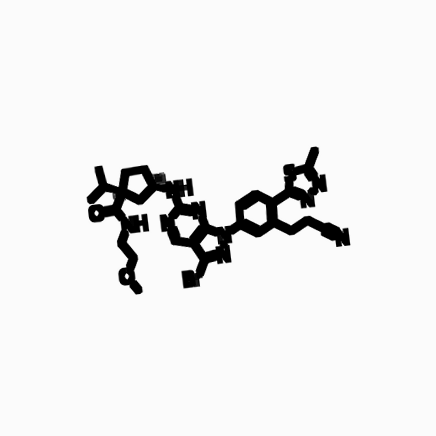 COCCNC(=O)[C@]1(C(C)C)CC[C@@H](Nc2ncc3c(Br)nn(-c4ccc(-c5nnc(C)s5)c(CCC#N)c4)c3n2)C1